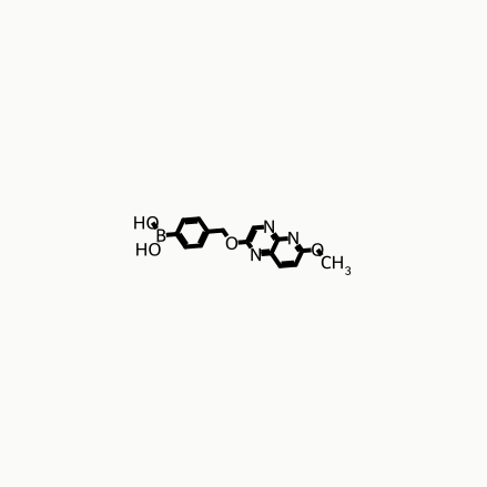 COc1ccc2nc(OCc3ccc(B(O)O)cc3)cnc2n1